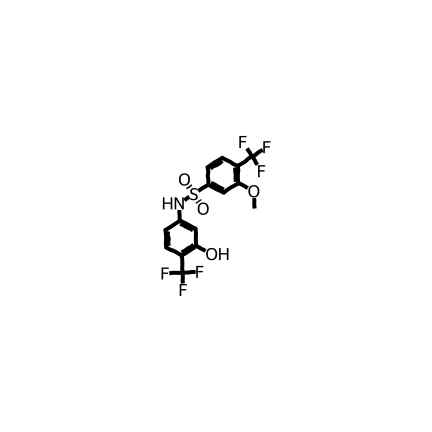 COc1cc(S(=O)(=O)Nc2ccc(C(F)(F)F)c(O)c2)ccc1C(F)(F)F